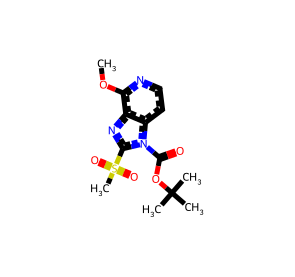 COc1nccc2c1nc(S(C)(=O)=O)n2C(=O)OC(C)(C)C